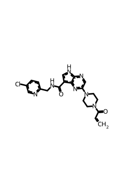 C=CC(=O)N1CCN(c2cnc3[nH]cc(C(=O)NCc4ccc(Cl)cn4)c3n2)CC1